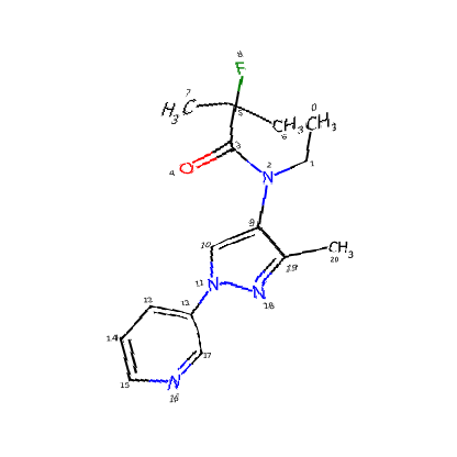 CCN(C(=O)C(C)(C)F)c1cn(-c2cccnc2)nc1C